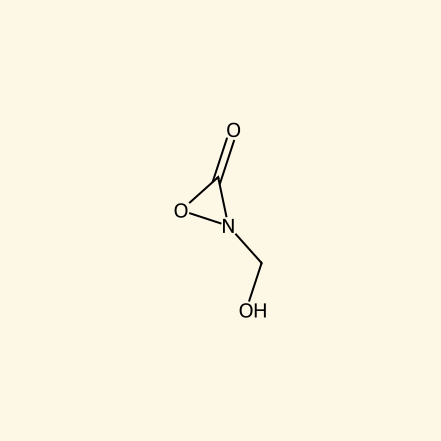 O=C1ON1CO